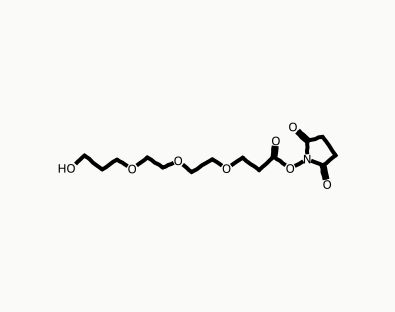 O=C(CCOCCOCCOCCCO)ON1C(=O)CCC1=O